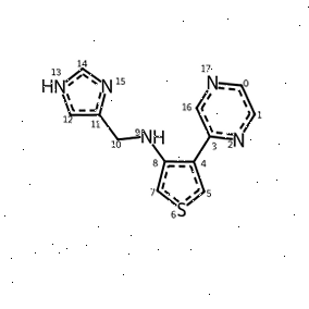 c1cnc(-c2cscc2NCc2c[nH]cn2)cn1